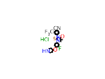 CC1(C)C(=O)N(c2ccc(C#N)c(C(F)(F)F)c2)C(=S)N1c1ccc(OC2CCNCC2)c(F)c1.Cl